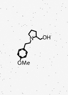 COc1ccc(CCN2CCCC2CO)cc1